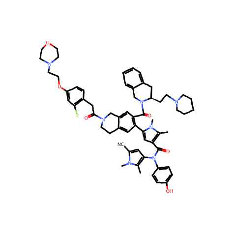 Cc1c(N(C(=O)c2cc(-c3cc4c(cc3C(=O)N3Cc5ccccc5C[C@H]3CCN3CCCCC3)CN(C(=O)Cc3ccc(OCCN5CCOCC5)cc3F)CC4)n(C)c2C)c2ccc(O)cc2)cc(C#N)n1C